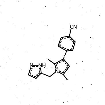 Cc1cc(-c2ccc(C#N)cc2)c(C)n1Cc1ccn[nH]1